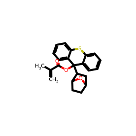 C=C(C)C(=O)OC1(C2CC3CCC2O3)c2ccccc2Sc2ccccc21